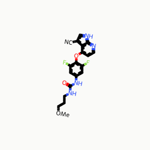 COCCCNC(=O)Nc1cc(F)c(Oc2ccnc3[nH]cc(C#N)c23)c(F)c1